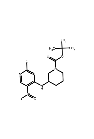 CC(C)(C)OC(=O)N1CCCC(Nc2nc(Cl)ncc2[N+](=O)[O-])C1